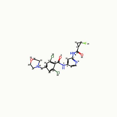 O=C(Nc1ccnc(NC(=O)[C@H]2C[C@H]2F)c1)c1c(Cl)cc(CN2CCOCC2)cc1Cl